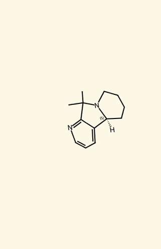 CC1(C)c2ncccc2[C@@H]2CCCCN21